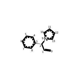 C=C[C@H](c1ccccc1)n1cccc1